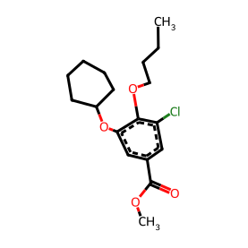 CCCCOc1c(Cl)cc(C(=O)OC)cc1OC1CCCCC1